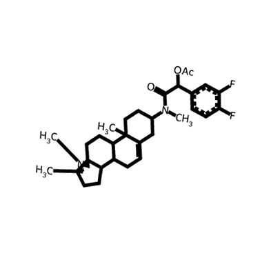 CC(=O)OC(C(=O)N(C)C1CCC2(C)C(=CCC3C2CCC24CN(C)C(C)C2CCC34)C1)c1ccc(F)c(F)c1